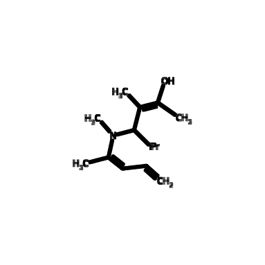 C=C/C=C(/C)N(C)C(/C(C)=C(\C)O)C(C)C